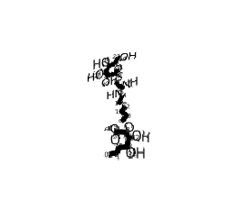 CCC1O[C@H](OC)C(OCCCSCCNC(=N)CS[C@H]2OC(CO)[C@@H](O)C(O)[C@H]2O)[C@@H](O)[C@@H]1O